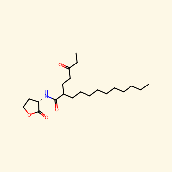 CCCCCCCCCCC(CCC(=O)CC)C(=O)N[C@H]1CCOC1=O